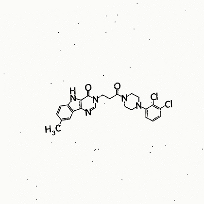 Cc1ccc2[nH]c3c(=O)n(CCC(=O)N4CCN(c5cccc(Cl)c5Cl)CC4)cnc3c2c1